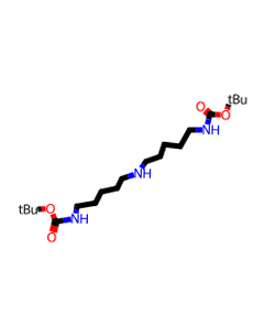 CC(C)(C)OC(=O)NCCCCCNCCCCCNC(=O)OC(C)(C)C